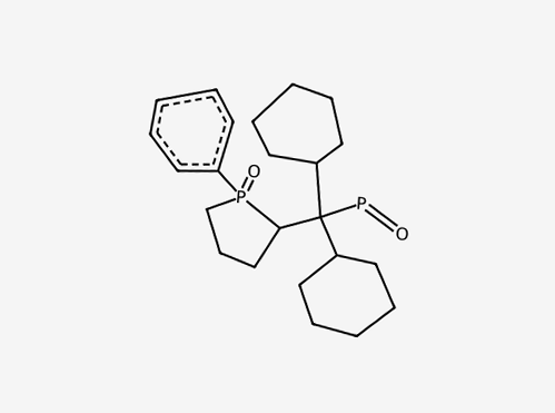 O=PC(C1CCCCC1)(C1CCCCC1)C1CCCP1(=O)c1ccccc1